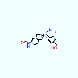 NC[C@H](c1ccc(CO)cc1)N1C=Cc2cc(NC=O)ccc2C1